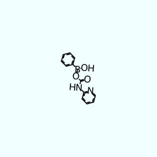 O=C(Nc1ccccn1)OB(O)c1ccccc1